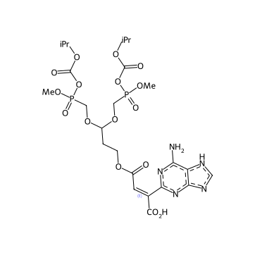 COP(=O)(COC(CCOC(=O)/C=C(/C(=O)O)c1nc(N)c2[nH]cnc2n1)OCP(=O)(OC)OC(=O)OC(C)C)OC(=O)OC(C)C